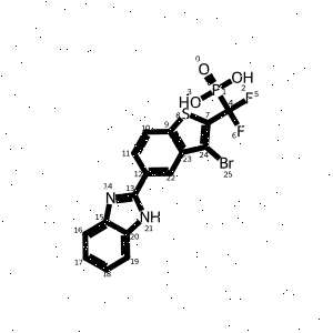 O=P(O)(O)C(F)(F)c1sc2ccc(-c3nc4ccccc4[nH]3)cc2c1Br